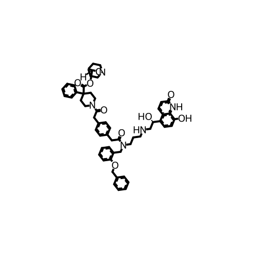 O=C(Cc1ccc(CC(=O)N(CCCNC[C@H](O)c2ccc(O)c3[nH]c(=O)ccc23)Cc2ccccc2OCc2ccccc2)cc1)N1CCC(C(=O)O[C@H]2CN3CCC2CC3)(c2ccccc2)CC1